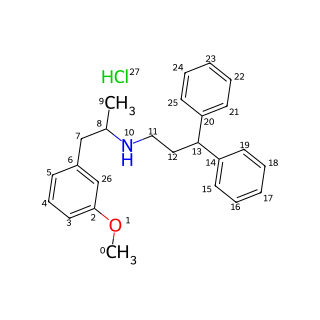 COc1cccc(CC(C)NCCC(c2ccccc2)c2ccccc2)c1.Cl